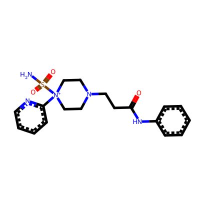 NS(=O)(=O)[N+]1(c2ccccn2)CCN(CCC(=O)Nc2ccccc2)CC1